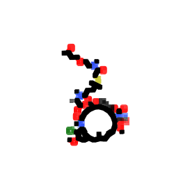 COc1cc2cc(c1Cl)N(C)C(=O)C[C@H](OC(=O)[C@H](C)N(C)C(=O)CCC(C)(C)SCC(=O)N(C)CCOCCC(C)=O)[C@]1(C)O[C@H]1[C@H](C)[C@@H]1C[C@@](O)(NC(=O)O1)[C@H](OC)/C=C/C=C(\C)C2